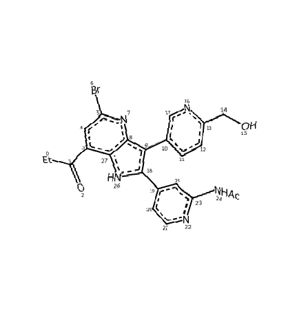 CCC(=O)c1cc(Br)nc2c(-c3ccc(CO)nc3)c(-c3ccnc(NC(C)=O)c3)[nH]c12